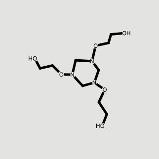 OCCON1CN(OCCO)CN(OCCO)C1